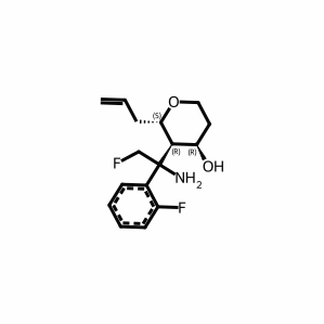 C=CC[C@@H]1OCC[C@@H](O)[C@H]1C(N)(CF)c1ccccc1F